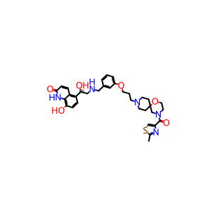 Cc1nc(C(=O)N2CCOC3(CCN(CCCOc4cccc(CNC[C@H](O)c5ccc(O)c6[nH]c(=O)ccc56)c4)CC3)C2)cs1